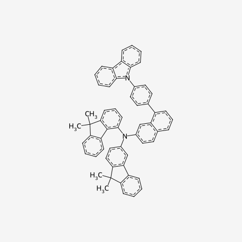 CC1(C)c2ccccc2-c2cc(N(c3ccc4cccc(-c5ccc(-n6c7ccccc7c7ccccc76)cc5)c4c3)c3cccc4c3-c3ccccc3C4(C)C)ccc21